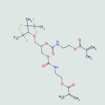 C=C(C)C(=O)OCCNC(=O)OCC(COC(C(C)(F)C(F)(F)C(F)(F)F)C(F)(F)C(F)(F)F)OC(=O)NCCOC(=O)C(=C)C